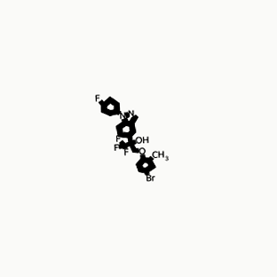 Cc1cc(Br)ccc1OCC(O)(c1ccc2c(cnn2-c2ccc(F)cc2)c1)C(F)(F)F